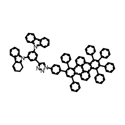 C1=Cc2c(n(-c3cc(-c4cn(-c5ccc(-c6cc(-c7ccccc7)c7c8cccc9c%10c(-c%11ccccc%11)c(-c%11ccccc%11)c(-c%11ccccc%11)c(-c%11ccccc%11)c%10c%10cccc(c7c6-c6ccccc6)c%10c89)cc5)nn4)cc(-n4c5ccccc5c5ccccc54)c3)c3ccccc23)CC1